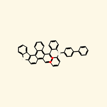 c1ccc(-c2ccc(N(c3ccccc3)c3ccccc3-c3cccc4c5ccc6oc7ccccc7c6c5c5ccccc5c34)cc2)cc1